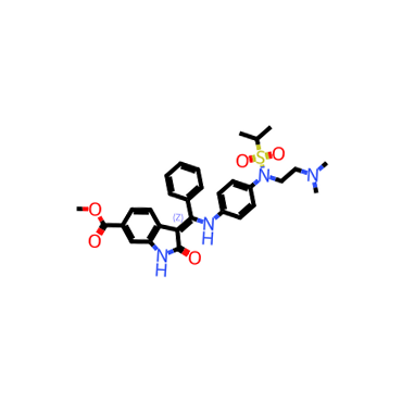 COC(=O)c1ccc2c(c1)NC(=O)/C2=C(\Nc1ccc(N(CCN(C)C)S(=O)(=O)C(C)C)cc1)c1ccccc1